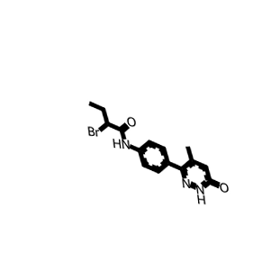 CCC(Br)C(=O)Nc1ccc(-c2n[nH]c(=O)cc2C)cc1